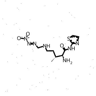 C[C@H](CCNCN=N[N+](=O)[O-])[C@H](N)C(=O)Nc1nccs1